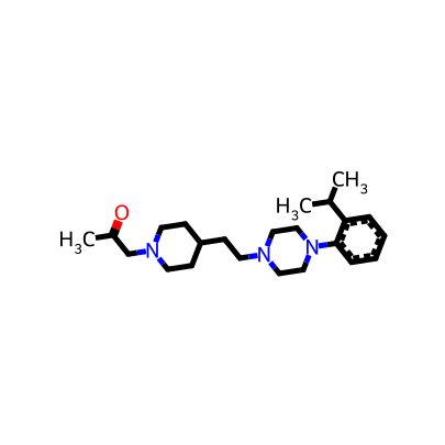 CC(=O)CN1CCC(CCN2CCN(c3ccccc3C(C)C)CC2)CC1